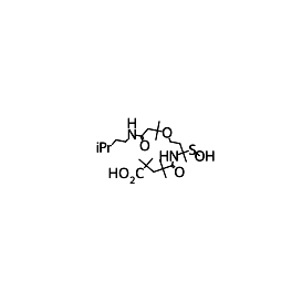 CC(C)CCNC(=O)CC(C)(C)OCCC(C)(NC(=O)C(C)(C)CC(C)(C)C(=O)O)SO